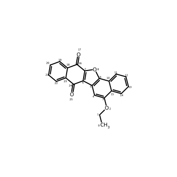 CCOc1cc2c3c(oc2c2ccccc12)C(=O)c1ccccc1C3=O